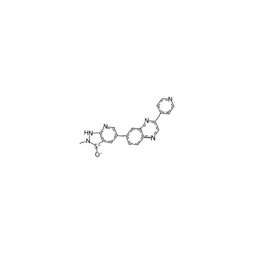 CN1Nc2ncc(-c3ccc4ncc(-c5ccncc5)nc4c3)cc2[S+]1[O-]